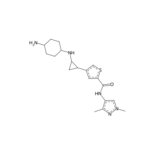 Cc1nn(C)cc1NC(=O)c1cc(C2CC2NC2CCC(N)CC2)cs1